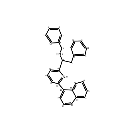 c1ccc(CNC(Cc2ccccc2)c2cccc(-c3cccc4ccccc34)n2)cc1